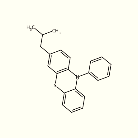 CC(C)Cc1ccc2c(c1)Sc1ccccc1N2c1ccccc1